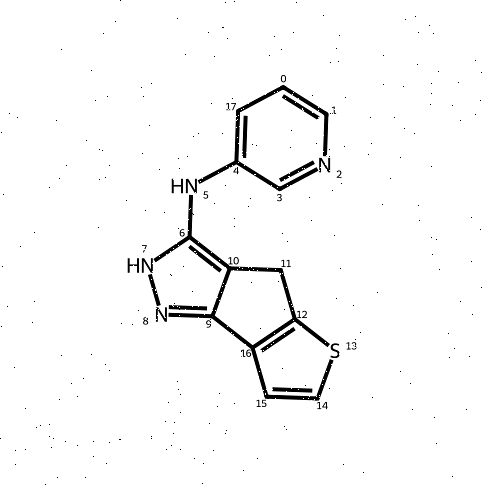 c1cncc(Nc2[nH]nc3c2Cc2sccc2-3)c1